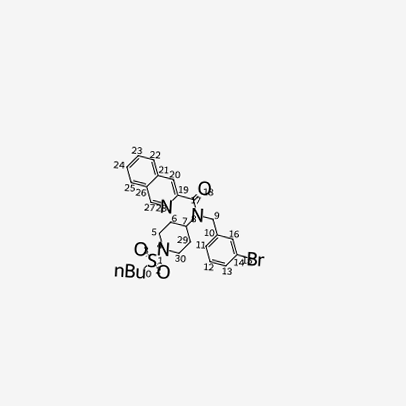 CCCCS(=O)(=O)N1CCC(N(Cc2cccc(Br)c2)C(=O)c2cc3ccccc3cn2)CC1